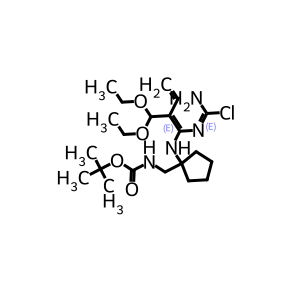 C=C/C(=C(\N=C(/N)Cl)NC1(CNC(=O)OC(C)(C)C)CCCC1)C(OCC)OCC